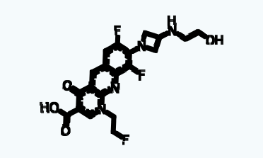 O=C(O)c1cn(CCF)c2nc3c(F)c(N4CC(NCCO)C4)c(F)cc3cc2c1=O